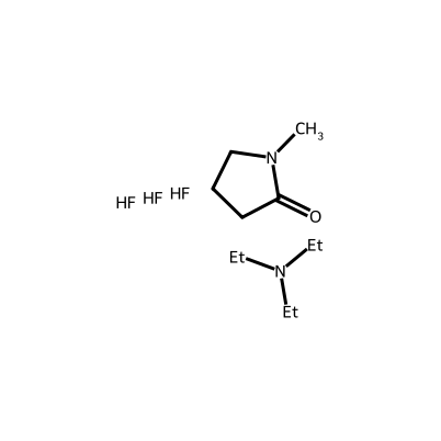 CCN(CC)CC.CN1CCCC1=O.F.F.F